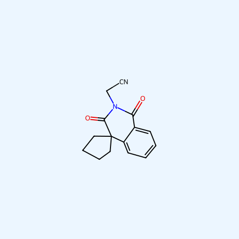 N#CCN1C(=O)c2ccccc2C2(CCCC2)C1=O